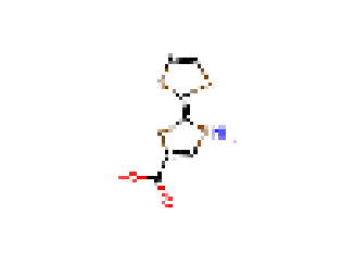 N.O=C(O)C1=CSC(=C2SC=CS2)S1